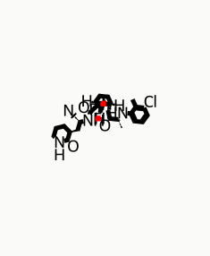 Cc1c(Cl)cccc1N[C@H](C)C(=O)N1[C@H]2CC[C@@H]([C@H]1C(=O)N[C@@H](C#N)C[C@@H]1CCCNC1=O)C(F)(F)C2